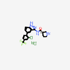 Cl.O=C(Nc1n[nH]c2ccc(-c3ccc(C(F)(F)F)cc3Cl)cc12)[C@@H]1CCCNC1